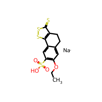 CCOc1cc2c(cc1S(=O)(=O)O)-c1ssc(=S)c1CC2.[Na]